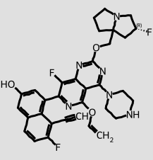 C#Cc1c(F)ccc2cc(O)cc(-c3nc(OC=C)c4c(N5CCNCC5)nc(OCC56CCCN5C[C@H](F)C6)nc4c3F)c12